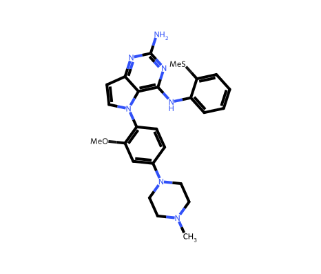 COc1cc(N2CCN(C)CC2)ccc1-n1ccc2nc(N)nc(Nc3ccccc3SC)c21